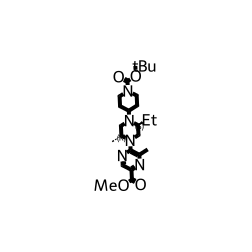 CC[C@H]1CN(c2ncc(C(=O)OC)nc2C)[C@H](C)CN1C1CCN(C(=O)OC(C)(C)C)CC1